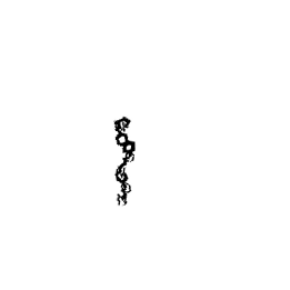 CN(C)CCOC1CCN(CCCOc2ccc3c(c2)CCC(CN2CCCC2)C3)CC1